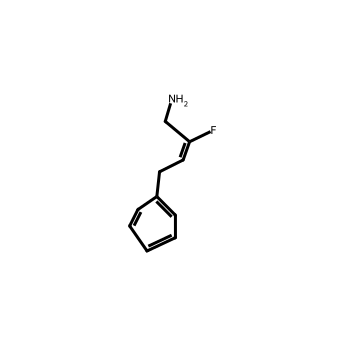 NC/C(F)=C\Cc1ccccc1